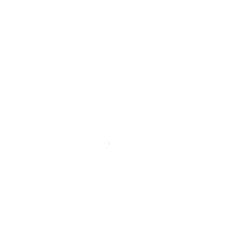 CCOC(=O)c1cc(CC)c2cccc(C(C)C)cc1-2